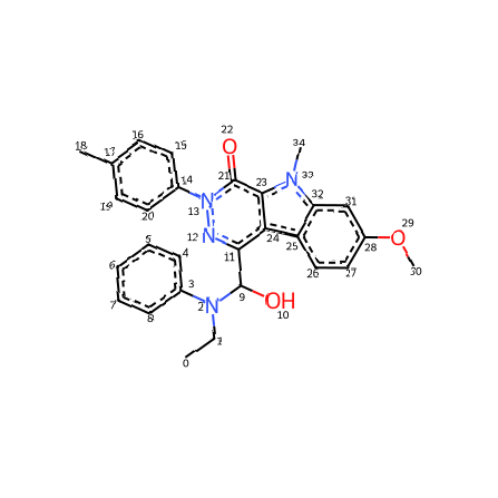 CCN(c1ccccc1)C(O)c1nn(-c2ccc(C)cc2)c(=O)c2c1c1ccc(OC)cc1n2C